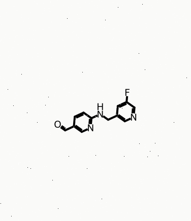 O=Cc1ccc(NCc2cncc(F)c2)nc1